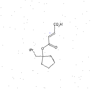 CC(C)CC1(OC(=O)/C=C/C(=O)O)CCCC1